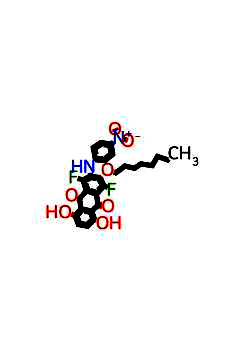 CCCCCCCCOc1c(F)c2c(c(F)c1Nc1ccc([N+](=O)[O-])cc1)C(=O)c1c(O)ccc(O)c1C2=O